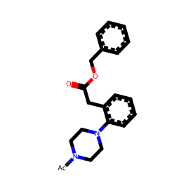 CC(=O)N1CCN(c2ccccc2CC(=O)OCc2ccccc2)CC1